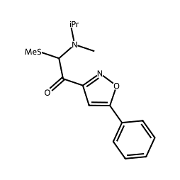 CSC(C(=O)c1cc(-c2ccccc2)on1)N(C)C(C)C